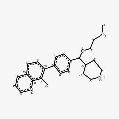 COCCOC(c1ccc(-c2ccc3cccnc3c2C)cc1)C1CCNCC1